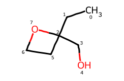 CCC1(CO)CCO1